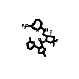 Cc1cccc(-c2sc(C)nc2C(=O)N2CC(F)(F)C[C@@H](C)C2CNC2=C/CC/C=C(C(F)(F)F)/C=N\2)n1